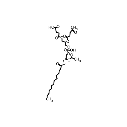 CCCCCCCCCCCCCC(=O)OC[C@H](COP(=O)(O)OCC(COC(=O)CCC(=O)O)OC(=O)CCC(C)=O)OC(C)=O